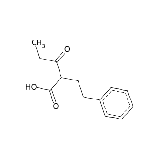 CCC(=O)C(CCc1ccccc1)C(=O)O